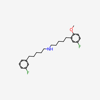 COc1ccc(F)cc1CCCCCNCCCCCc1cccc(F)c1